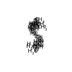 COC(=O)N[C@H](C(=O)N1CCC[C@H]1c1nc2ccc3cc(-c4ccc5c(c4)CCc4nc([C@@H]6[C@H]7CC[C@H](C7)N6C(=O)[C@@H](NC(=O)OC)[C@@H](C)OC)[nH]c4-5)ccc3c2[nH]1)C(C)C